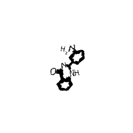 Nc1cccc(-c2nc(=O)c3ccccc3[nH]2)c1